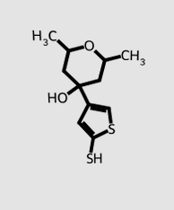 CC1CC(O)(c2csc(S)c2)CC(C)O1